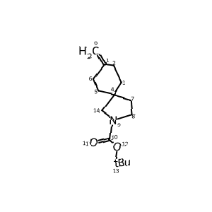 C=C1CCC2(CC1)CCN(C(=O)OC(C)(C)C)C2